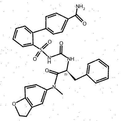 CN(C(=O)[C@H](Cc1ccccc1)NC(=O)NS(=O)(=O)c1ccccc1-c1ccc(C(N)=O)cc1)c1ccc2c(c1)CCO2